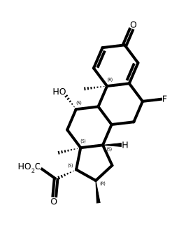 C[C@@H]1C[C@H]2C3CC(F)C4=CC(=O)C=C[C@]4(C)C3[C@@H](O)C[C@]2(C)[C@H]1C(=O)C(=O)O